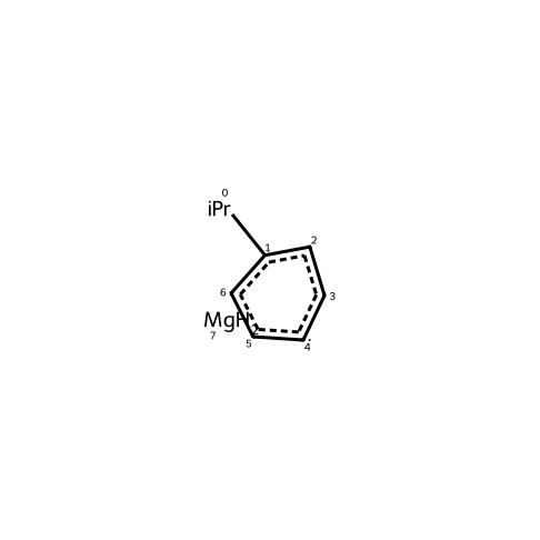 CC(C)c1cc[c]cc1.[MgH2]